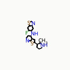 C[C@H]1NCCC=C1c1cc2c(Nc3cc4ncsc4cc3F)ccnc2s1